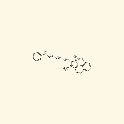 C[N+]1=C(/C=C/C=C/C=C/Nc2ccccc2)C(C)(C)c2c1ccc1ccccc21